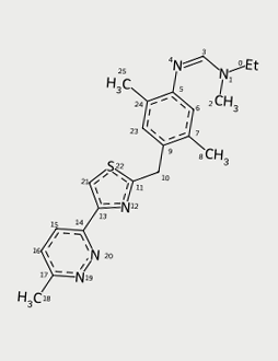 CCN(C)/C=N\c1cc(C)c(Cc2nc(-c3ccc(C)nn3)cs2)cc1C